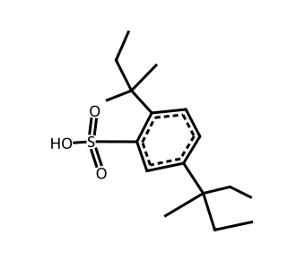 CCC(C)(C)c1ccc(C(C)(CC)CC)cc1S(=O)(=O)O